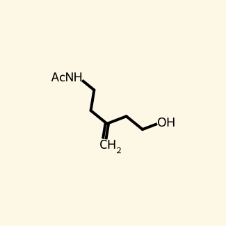 C=C(CCO)CCNC(C)=O